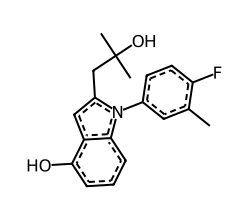 Cc1cc(-n2c(CC(C)(C)O)cc3c(O)cccc32)ccc1F